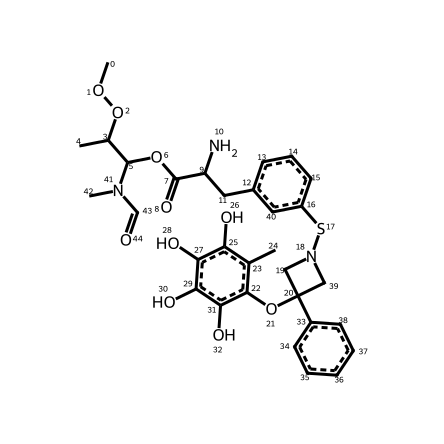 COOC(C)C(OC(=O)C(N)Cc1cccc(SN2CC(Oc3c(C)c(O)c(O)c(O)c3O)(c3ccccc3)C2)c1)N(C)C=O